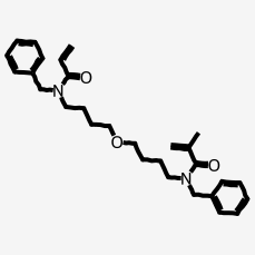 C=CC(=O)N(CCCCOCCCCN(Cc1ccccc1)C(=O)C(=C)C)Cc1ccccc1